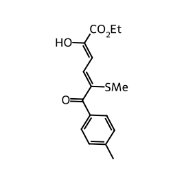 CCOC(=O)/C(O)=C/C=C(\SC)C(=O)c1ccc(C)cc1